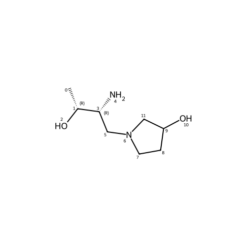 C[C@@H](O)[C@H](N)CN1CCC(O)C1